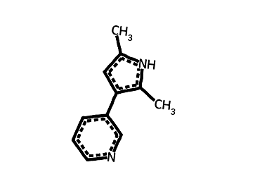 Cc1cc(-c2cccnc2)c(C)[nH]1